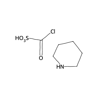 C1CCNCC1.O=C(Cl)S(=O)(=O)O